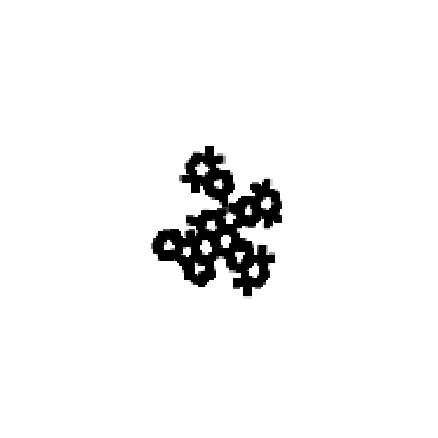 Cc1cc2c3c4c1C1(C)c5ccccc5-c5cccc(c51)N4c1cc4c(cc1B3c1cc3c(cc1N2c1ccc2c(c1)C(C)(C)CCC2(C)C)C(C)(C)CCC3(C)C)C(C)(C)CCC4(C)C